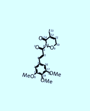 COc1cc(C=CC(=O)N2OCC=C(I)C2=O)cc(OC)c1OC